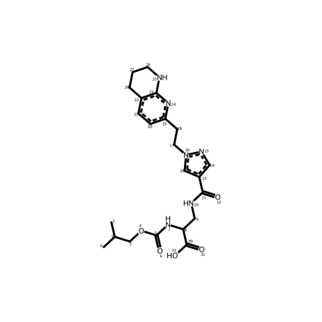 CC(C)COC(=O)NC(CNC(=O)c1cnn(CCc2ccc3c(n2)NCCC3)c1)C(=O)O